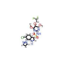 COc1nc(NS(=O)(=O)c2c[nH]c3c(-n4cccn4)c(Cl)ccc23)nc(OC)c1OCC(F)F